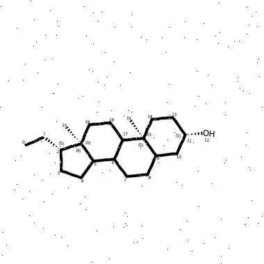 CC[C@H]1CCC2C3CCC4C[C@@H](O)CC[C@]4(C)C3CC[C@@]21C